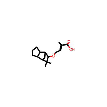 C/C(=C\COC1C2CC(C3CCCC32)C1(C)C)C(=O)O